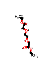 C=COC(=O)COCCOCC(=O)OC=C